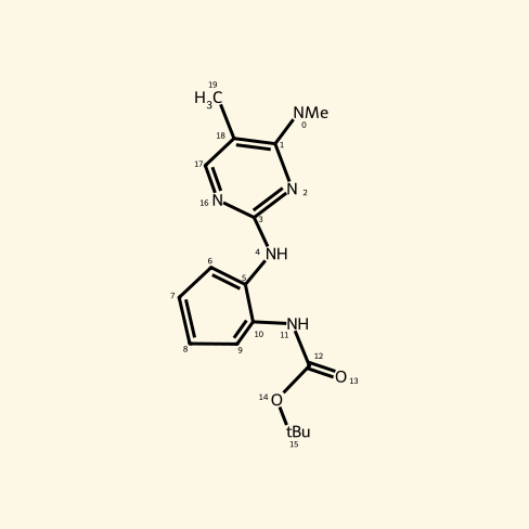 CNc1nc(Nc2ccccc2NC(=O)OC(C)(C)C)ncc1C